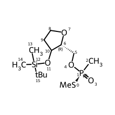 CS[P@@](C)(=O)OC[C@H]1OCCC1O[Si](C)(C)C(C)(C)C